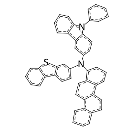 c1ccc(-n2c3ccccc3c3cc(N(c4ccc5c(c4)sc4ccccc45)c4cccc5c4ccc4c6ccccc6ccc54)ccc32)cc1